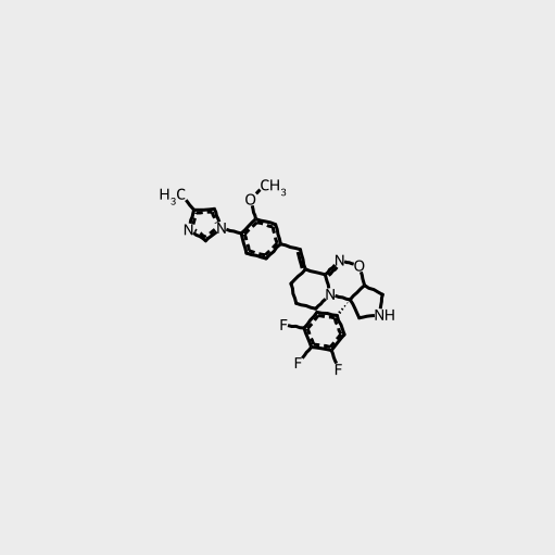 COc1cc(/C=C2\CCCN3C2=NOC2CNC[C@]23c2cc(F)c(F)c(F)c2)ccc1-n1cnc(C)c1